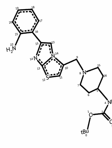 CC(C)(C)OC(=O)NC1CCN(Cc2csc3nc(-c4ccccc4N)cn23)CC1